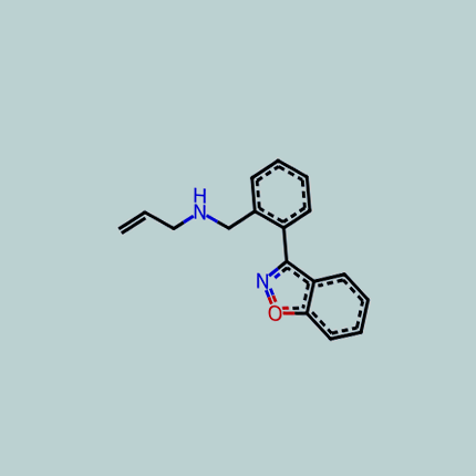 C=CCNCc1ccccc1-c1noc2ccccc12